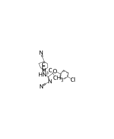 CC(C)(Oc1ccc(Cl)cc1)/C(=N/C#N)NC12CCC(C#N)(CC1)CC2